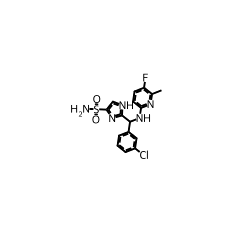 Cc1nc(NC(c2cccc(Cl)c2)c2nc(S(N)(=O)=O)c[nH]2)ccc1F